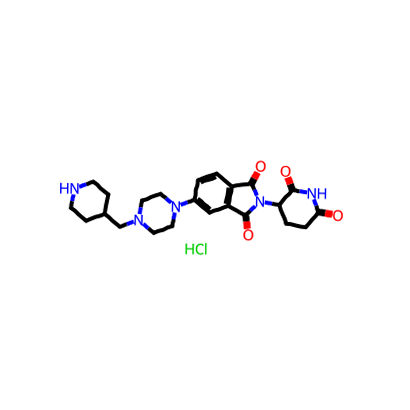 Cl.O=C1CCC(N2C(=O)c3ccc(N4CCN(CC5CCNCC5)CC4)cc3C2=O)C(=O)N1